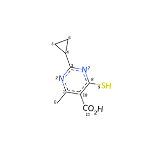 Cc1nc(C2CC2)nc(S)c1C(=O)O